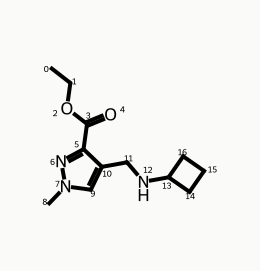 CCOC(=O)c1nn(C)cc1CNC1CCC1